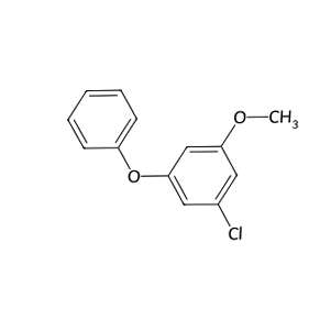 COc1cc(Cl)cc(Oc2ccccc2)c1